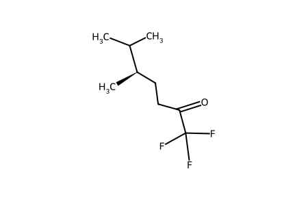 CC(C)[C@H](C)CCC(=O)C(F)(F)F